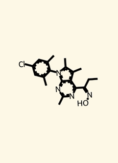 CC/C(=N/O)c1nc(C)nc2c1c(C)c(C)n2-c1c(C)cc(Cl)cc1C